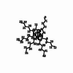 CCCCCC[N](CCCCCC)[Ti]([O]CC)([N](CCCCCC)CCCCCC)[N](CCCCCC)CCCCCC